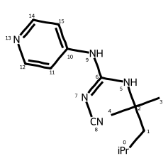 CC(C)CC(C)(C)NC(=NC#N)Nc1ccncc1